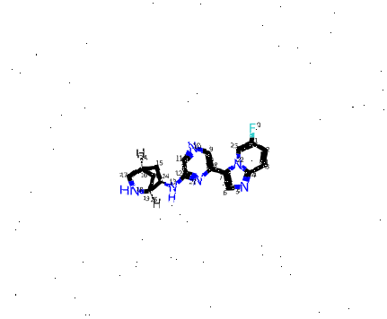 Fc1ccc2ncc(-c3cncc(N[C@@H]4C[C@@H]5CN[C@H]4C5)n3)n2c1